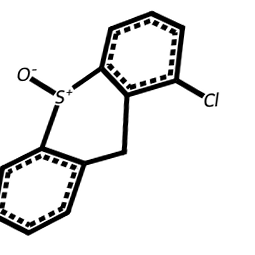 [O-][S+]1c2ccccc2Cc2c(Cl)cccc21